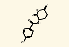 CC(C)c1ccc(C(=O)N[C@H]2CCC(=O)NC2=O)nc1